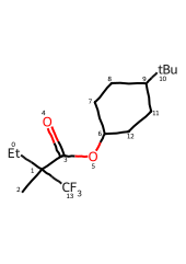 CCC(C)(C(=O)OC1CCC(C(C)(C)C)CC1)C(F)(F)F